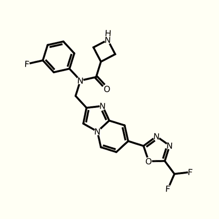 O=C(C1CNC1)N(Cc1cn2ccc(-c3nnc(C(F)F)o3)cc2n1)c1cccc(F)c1